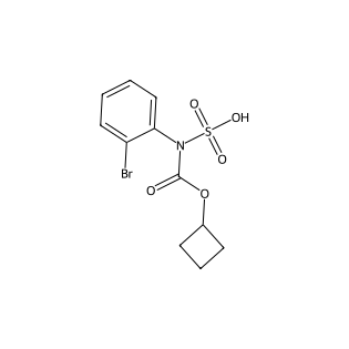 O=C(OC1CCC1)N(c1ccccc1Br)S(=O)(=O)O